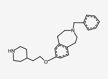 c1ccc(CN2CCc3ccc(OCCC4CCNCC4)cc3CC2)cc1